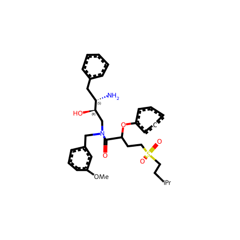 COc1cccc(CN(C[C@@H](O)[C@@H](N)Cc2ccccc2)C(=O)C(CCS(=O)(=O)CCC(C)C)Oc2ccccc2)c1